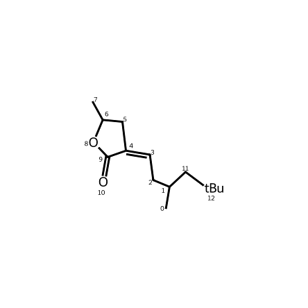 CC(CC=C1CC(C)OC1=O)CC(C)(C)C